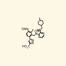 COc1ccc(-n2cc(C(=O)O)nn2)c(CN(C=O)c2nccnc2NCC2CCN(C)CC2)c1F